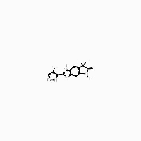 CCC1(CC)C(=O)N(C(C)C)c2cc3nc(-c4n[nH]cc4N)[nH]c3cc21